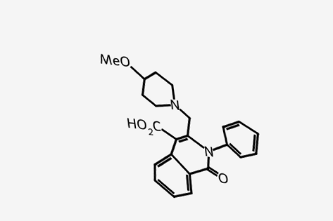 COC1CCN(Cc2c(C(=O)O)c3ccccc3c(=O)n2-c2ccccc2)CC1